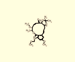 COCOc1cc(OC)cc2c1C(=O)O[C@@H](C)[C@H](OC)/C=C\C(=O)[C@H]1OC(C)(C)O[C@H]1C/C=C/2